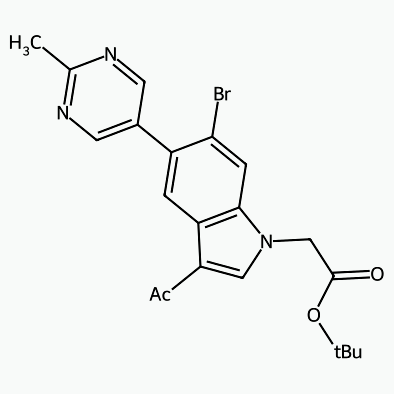 CC(=O)c1cn(CC(=O)OC(C)(C)C)c2cc(Br)c(-c3cnc(C)nc3)cc12